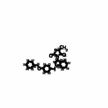 C=C1SC(=O)N(c2cn(Cc3ccc(OCc4ccccc4)cc3)c3ccccc23)C1=O